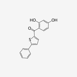 O=C(c1ccc(-c2ccccc2)s1)c1ccc(O)cc1O